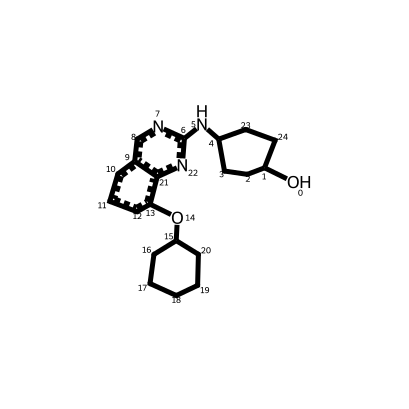 OC1CCC(Nc2ncc3cccc(OC4CCCCC4)c3n2)CC1